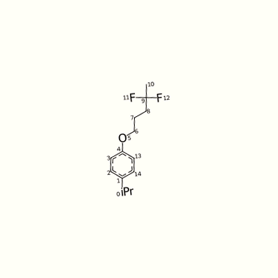 CC(C)c1ccc(OCCCC(C)(F)F)cc1